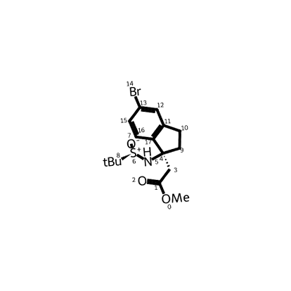 COC(=O)C[C@@]1(N[S@+]([O-])C(C)(C)C)CCc2cc(Br)ccc21